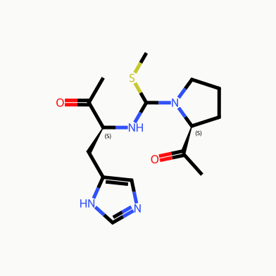 CSC(N[C@@H](Cc1cnc[nH]1)C(C)=O)N1CCC[C@H]1C(C)=O